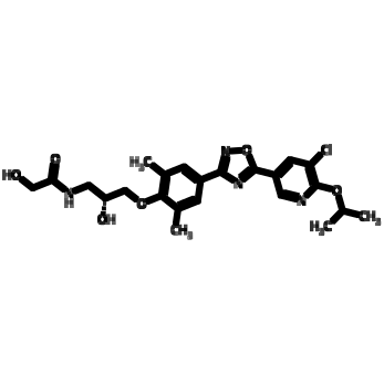 Cc1cc(-c2noc(-c3cnc(OC(C)C)c(Cl)c3)n2)cc(C)c1OC[C@H](O)CNC(=O)CO